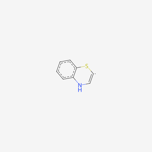 [C]1=CNc2ccccc2S1